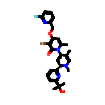 CC1=CN(C)[C@@H](c2cccc(C(C)(C)O)n2)C=C1n1c(C)cc(OCc2cccc(F)n2)c(Br)c1=O